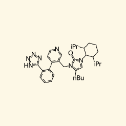 CCCCc1cn(C2C(C(C)C)CCCC2C(C)C)c(=O)n1Cc1cnccc1-c1ccccc1-c1nnn[nH]1